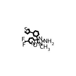 CN1C(=O)C(c2cccc(-c3ccsc3)c2)(c2ccc(C(F)F)cn2)N=C1N